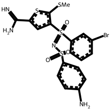 CSc1sc(C(=N)N)cc1S(=O)(=NS(=O)(=O)c1ccc(N)cc1)c1cccc(Br)c1